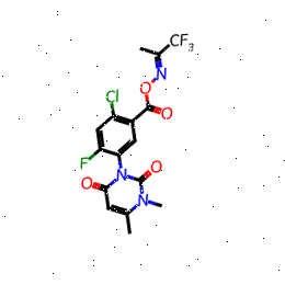 CC(=NOC(=O)c1cc(-n2c(=O)cc(C)n(C)c2=O)c(F)cc1Cl)C(F)(F)F